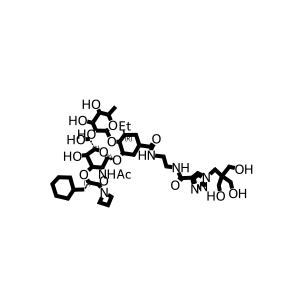 CC[C@@H]1CC(C(=O)NCCNC(=O)c2cn(CC(CO)(CO)CO)nn2)CC(O[C@@H]2O[C@@H](CO)C(O)C(O[C@@H](CC3CCCCC3)C(=O)N3CCC3)C2NC(C)=O)C1OC1OC(C)C(O)C(O)C1O